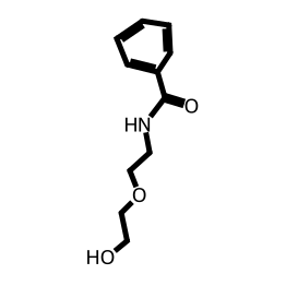 O=C(NCCOCCO)c1ccccc1